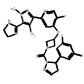 Cc1c(-c2cc(OC3CN(C(=O)N4N=CCC4c4cc(F)cc(F)c4)C3)c(F)cn2)nn(C)c1C1=NCCN1